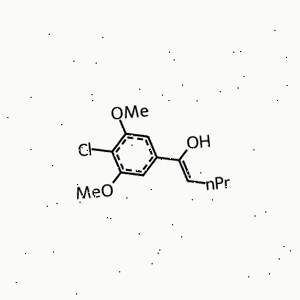 CCC/C=C(\O)c1cc(OC)c(Cl)c(OC)c1